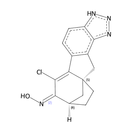 O/N=C1\C(Cl)=C2c3ccc4[nH]nnc4c3C[C@@]23CC[C@@H]1C3